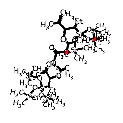 C=C(C)C(OC(C)OC(=O)OC(C)OC(C(=C)C)C(CC)[Si](O[Si](C)(C)C)(O[Si](C)(C)C)O[Si](C)(C)C)C(CC)[Si](O[Si](C)(C)C)(O[Si](C)(C)C)O[Si](C)(C)C